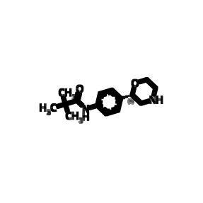 CC(C)(C)C(=O)Nc1ccc([C@H]2CNCCO2)cc1